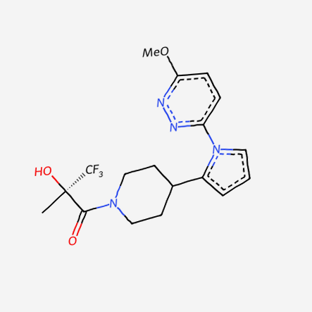 COc1ccc(-n2cccc2C2CCN(C(=O)[C@@](C)(O)C(F)(F)F)CC2)nn1